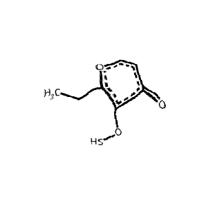 CCc1occc(=O)c1OS